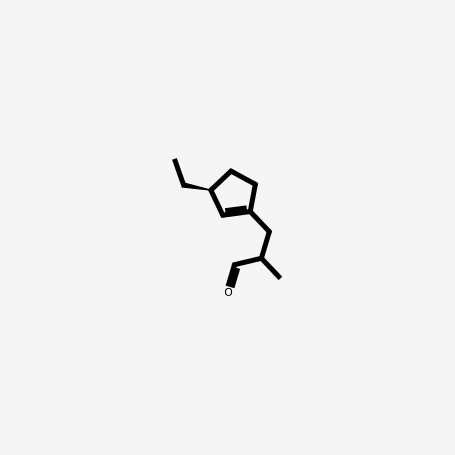 CC[C@@H]1C=C(CC(C)C=O)CC1